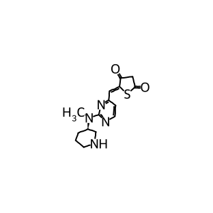 CN(c1nccc(/C=C2\SC(=O)CC2=O)n1)[C@@H]1CCCNC1